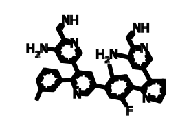 Cc1cccc(-c2ncc(-c3cc(F)c(-c4ncccc4-c4cnc(C=N)c(N)c4)cc3C)cc2-c2cnc(C=N)c(N)c2)c1